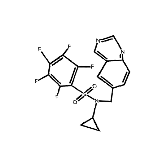 O=S(=O)(c1c(F)c(F)c(F)c(F)c1F)N(Cc1ccc2ncncc2c1)C1CC1